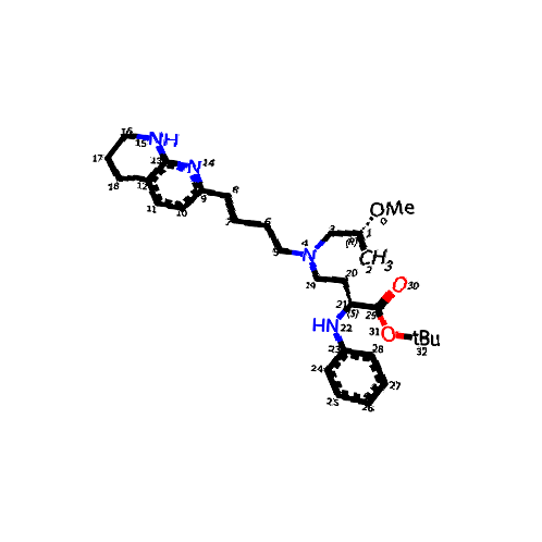 CO[C@H](C)CN(CCCCc1ccc2c(n1)NCCC2)CC[C@H](Nc1ccccc1)C(=O)OC(C)(C)C